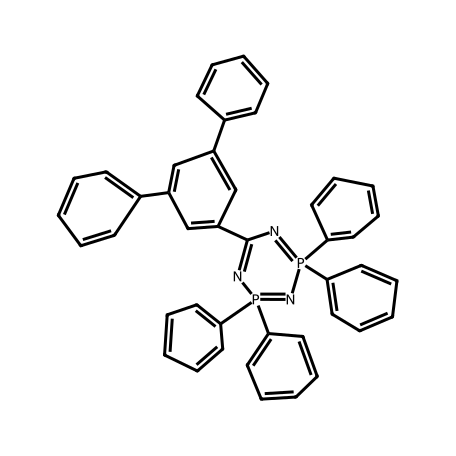 c1ccc(-c2cc(C3=NP(c4ccccc4)(c4ccccc4)=NP(c4ccccc4)(c4ccccc4)=N3)cc(-c3ccccc3)c2)cc1